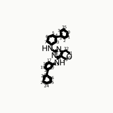 c1ccc(-c2cccc(Nc3nc4c(c(Nc5cccc(-c6ccccc6)c5)n3)COCC4)c2)cc1